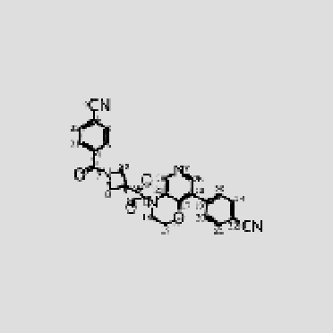 N#Cc1ccc(C(=O)N2CC(S(=O)(=O)N3CCOc4c(-c5ccc(C#N)cc5)cncc43)C2)cc1